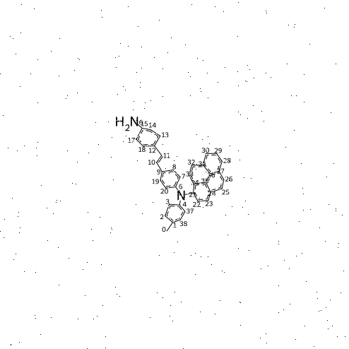 Cc1ccc(N(c2ccc(C=Cc3ccc(N)cc3)cc2)c2ccc3ccc4cccc5ccc2c3c45)cc1